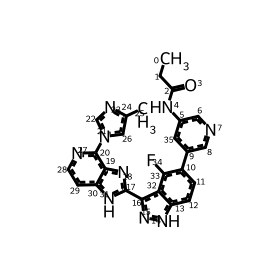 CCC(=O)Nc1cncc(-c2ccc3[nH]nc(-c4nc5c(-n6cnc(C)c6)nccc5[nH]4)c3c2F)c1